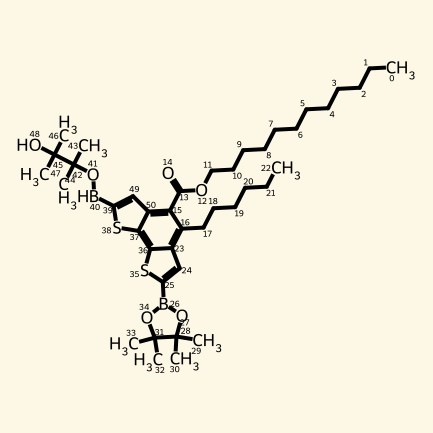 CCCCCCCCCCCCOC(=O)c1c(CCCCCC)c2cc(B3OC(C)(C)C(C)(C)O3)sc2c2sc(BOC(C)(C)C(C)(C)O)cc12